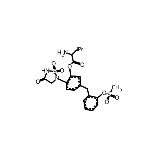 CC(C)C(N)C(=O)Oc1cc(Cc2ccccc2OS(C)(=O)=O)ccc1N1CC(=O)NS1(=O)=O